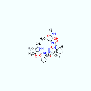 CCC[C@H](NC(=O)[C@@H]1C[C@@H]2CCCC[C@@H]2N1C(=O)[C@@H](NC(=O)[C@@H](NC(=O)c1[nH]c(C)c(C)c1C(C)=O)C1CCCCC1)C(C)(C)C)C(O)C(=O)NC1CC1